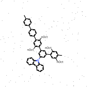 CCCCCCCCc1cc(-c2cc(-c3cc(CCCCCCCC)c(-c4ccc(-c5ccc(C)cc5)cc4)cc3CCCCCCCC)cc(-n3c4ccccc4c4ccccc43)c2)c(CCCCCCCC)cc1C